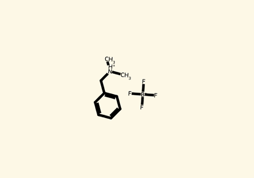 C[NH+](C)Cc1ccccc1.F[B-](F)(F)F